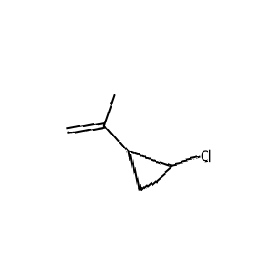 C=C(C)C1CC1Cl